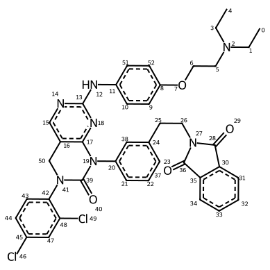 CCN(CC)CCOc1ccc(Nc2ncc3c(n2)N(c2cccc(CCN4C(=O)c5ccccc5C4=O)c2)C(=O)N(c2ccc(Cl)cc2Cl)C3)cc1